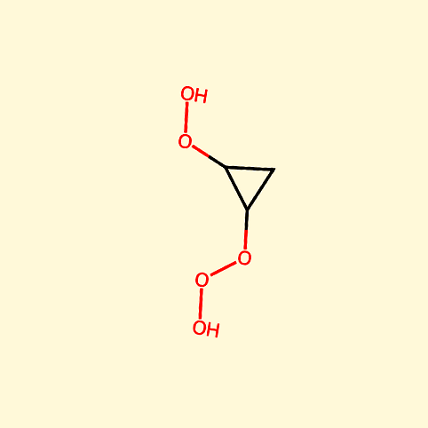 OOOC1CC1OO